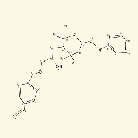 C=Cc1ccc(COCC(O)CN2C(C)(C)CC(OCc3ccccc3)CC2(C)C)cc1